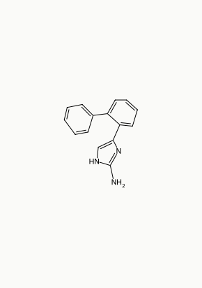 Nc1nc(-c2ccccc2-c2ccccc2)c[nH]1